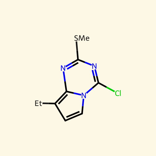 CCc1ccn2c(Cl)nc(SC)nc12